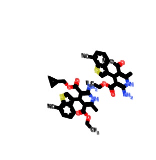 CC1=C(C(=O)OCC(F)(F)F)C(c2csc3c(C#N)cccc23)C(C(=O)OCC2CC2)=C(N)N1.COC(=O)C1=C(C)NC(N)=C(C(=O)OCC(F)(F)F)C1c1csc2c(C#N)cccc12